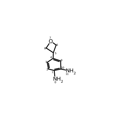 Nc1ccc(C2COC2)cc1N